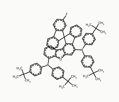 CC(C)(C)c1ccc(N(c2ccc(C(C)(C)C)cc2)c2cc3oc4c(N(c5ccc(C(C)(C)C)cc5)c5ccc(C(C)(C)C)cc5)cccc4c3c3c2-c2ccccc2C32c3ccccc3-c3ccc(F)cc32)cc1